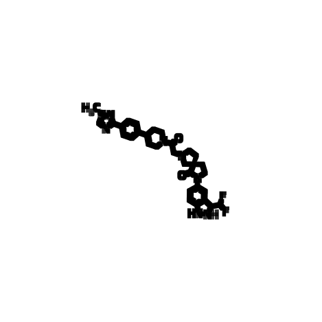 Cn1cnc(-c2ccc(C3=CCN(C(=O)CN4CC[C@]5(CCN(c6ccc7c(c6)C(C(F)F)NN7)C5=O)C4)CC3)cc2)n1